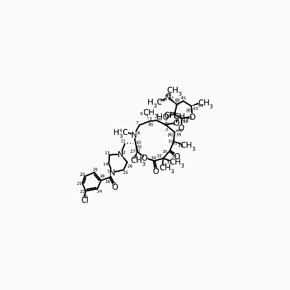 CO[C@]1(C)C[C@@H](C)CN(C)[C@@H](CN2CCN(C(=O)c3cccc(Cl)c3)CC2)[C@H](C)OC(=O)C(C)(C)C(=O)[C@H](C)[C@H]1O[C@@H]1O[C@H](C)C[C@H](N(C)C)[C@H]1O